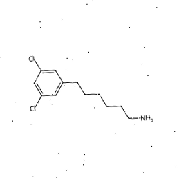 NCCCCCCc1cc(Cl)cc(Cl)c1